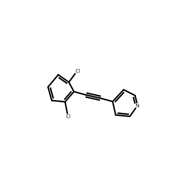 Clc1cccc(Cl)c1C#Cc1ccncc1